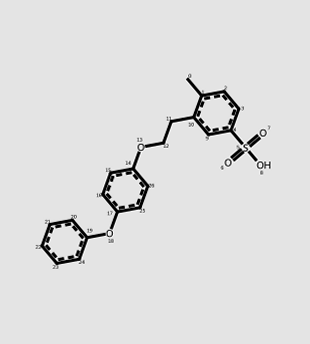 Cc1ccc(S(=O)(=O)O)cc1CCOc1ccc(Oc2ccccc2)cc1